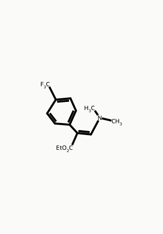 CCOC(=O)/C(=C/N(C)C)c1ccc(C(F)(F)F)cc1